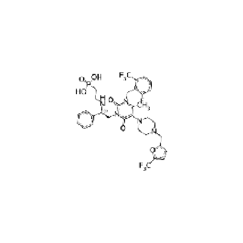 Cc1c(N2CCN(Cc3ccc(C(F)(F)F)o3)CC2)c(=O)n(C[C@H](NCCP(=O)(O)O)c2ccccc2)c(=O)n1Cc1c(F)cccc1C(F)(F)F